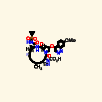 CC[C@@H]1C[C@H](C)CC/C=C\[C@@H]2C[C@@]2(C(=O)NS(=O)(=O)C2CC2)NC(=O)[C@@H]2C[C@@H](Oc3cnnc4cc(OC)ccc34)CN2C(=O)[C@H]1NC(=O)O